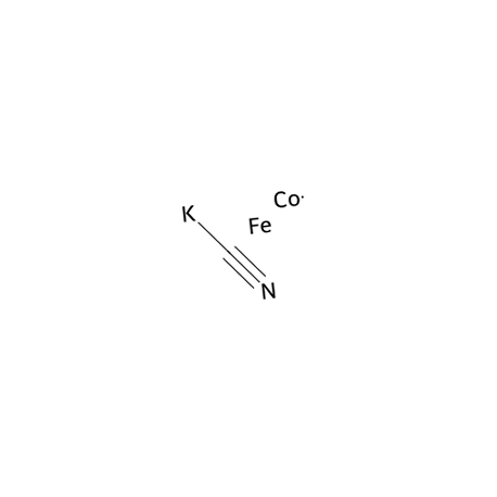 N#[C][K].[Co].[Fe]